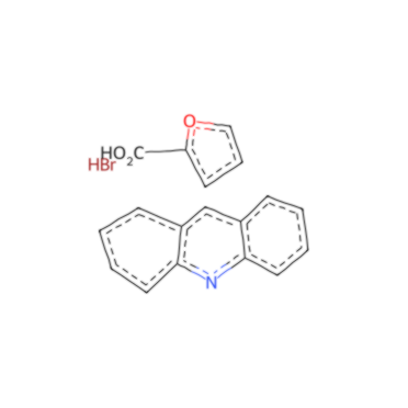 Br.O=C(O)c1ccco1.c1ccc2nc3ccccc3cc2c1